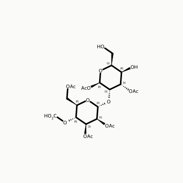 CC(=O)OC[C@H]1O[C@H](O[C@@H]2[C@@H](OC(C)=O)O[C@@H](CO)[C@@H](O)[C@@H]2OC(C)=O)[C@@H](OC(C)=O)[C@@H](OC(C)=O)[C@@H]1OC(=O)O